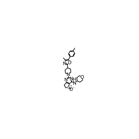 Cc1ccc(-c2oc(C3CCN(c4nc5c(c(NC6CCOCC6)n4)[S+]([O-])CC5)CC3)nc2C)cc1